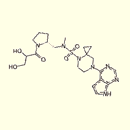 CN(C[C@H]1CCCN1C(=O)C(O)CO)S(=O)(=O)N1CCN(c2ncnc3[nH]ccc23)CC12CC2